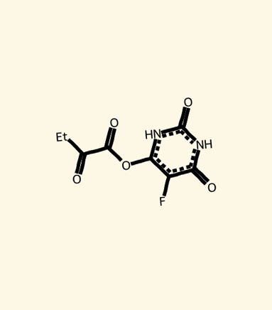 CCC(=O)C(=O)Oc1[nH]c(=O)[nH]c(=O)c1F